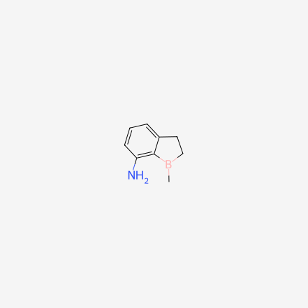 CB1CCc2cccc(N)c21